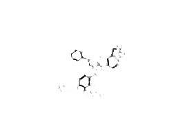 COc1ccc(CN(C[C@H](C)c2ccccc2)C(=O)OC2=CC3=CNON3C=C2)cc1OC